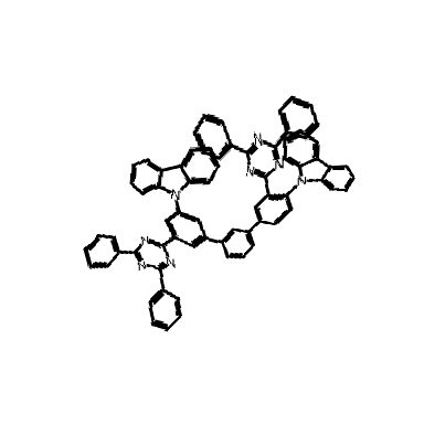 c1ccc(-c2nc(-c3ccccc3)nc(-c3cc(-c4cccc(-c5ccc(-n6c7ccccc7c7ccccc76)c(-c6nc(-c7ccccc7)nc(-c7ccccc7)n6)c5)c4)cc(-n4c5ccccc5c5ccccc54)c3)n2)cc1